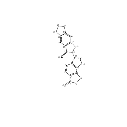 O=C1CCc2c1ccc1c2CCC1C1Cc2cc3c(cc2C1=O)CCC3